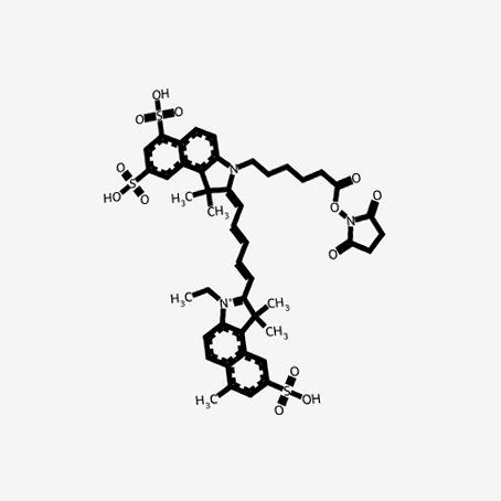 CC[N+]1=C(/C=C/C=C/C=C2/N(CCCCCC(=O)ON3C(=O)CCC3=O)c3ccc4c(S(=O)(=O)O)cc(S(=O)(=O)O)cc4c3C2(C)C)C(C)(C)c2c1ccc1c(C)cc(S(=O)(=O)O)cc21